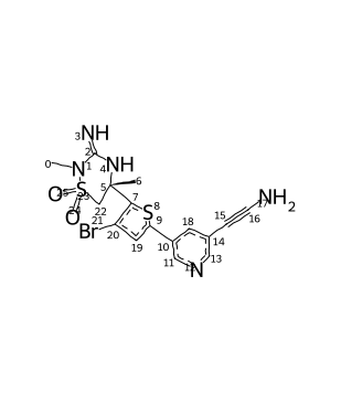 CN1C(=N)N[C@](C)(c2sc(-c3cncc(C#CN)c3)cc2Br)CS1(=O)=O